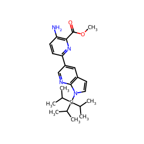 COC(=O)c1nc(-c2cnc3c(ccn3[Si](C(C)C)(C(C)C)C(C)C)c2)ccc1N